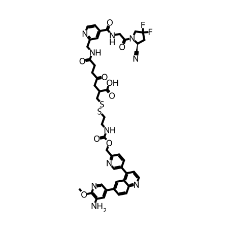 COc1ncc(-c2ccc3nccc(-c4ccc(COC(=O)NCCSSCC(CC(=O)CCC(=O)NCc5cc(C(=O)NCC(=O)N6CC(F)(F)C[C@H]6C#N)ccn5)C(=O)O)nc4)c3c2)cc1N